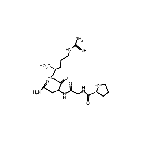 N=C(N)NCCC[C@H](NC(=O)[C@H](CC(N)=O)NC(=O)CNC(=O)[C@@H]1CCCN1)C(=O)O